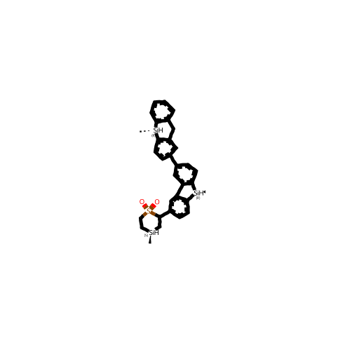 C[Si@H]1CCS(=O)(=O)C(c2ccc3c(c2)-c2cc(-c4ccc5c(c4)Cc4ccccc4[Si@H]5C)ccc2[Si@H]3C)C1